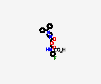 O=C(COCC(=O)N1CCN(C(c2ccccc2)c2ccccc2)CC1)Nc1ccc(F)cc1C(=O)O